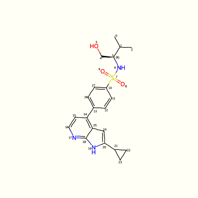 CC(C)[C@H](CO)NS(=O)(=O)c1ccc(-c2ccnc3[nH]c(C4CC4)cc23)cc1